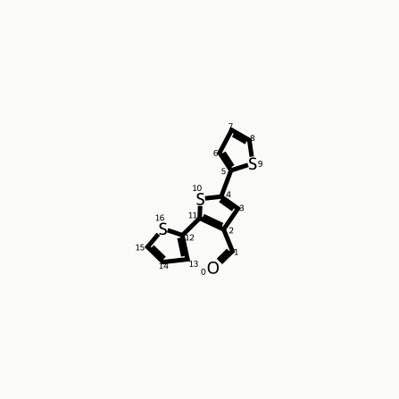 O=Cc1cc(-c2cccs2)sc1-c1cccs1